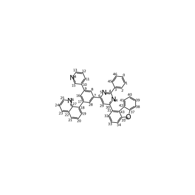 c1ccc(-c2nc(-c3cc(-c4cccnc4)cc(-c4cccc5cccnc45)c3)cc(-c3cccc4oc5ccccc5c34)n2)cc1